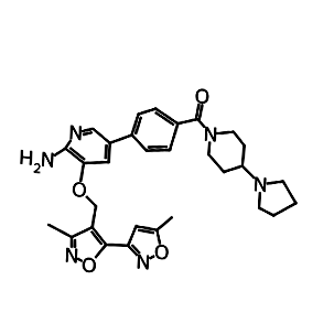 Cc1cc(-c2onc(C)c2COc2cc(-c3ccc(C(=O)N4CCC(N5CCCC5)CC4)cc3)cnc2N)no1